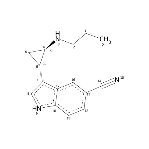 CCCN[C@@H]1C[C@H]1c1c[nH]c2ccc(C#N)cc12